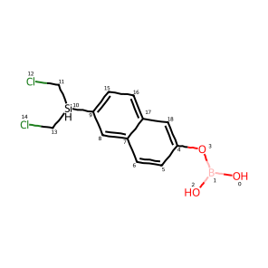 OB(O)Oc1ccc2cc([SiH](CCl)CCl)ccc2c1